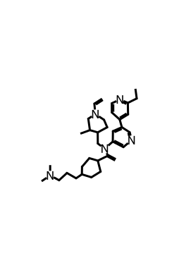 C=CN1CCC(CN(C(=C)C2CCC(CCCN(C)C)CC2)c2cncc(-c3ccnc(CC)c3)c2)C(C)C1